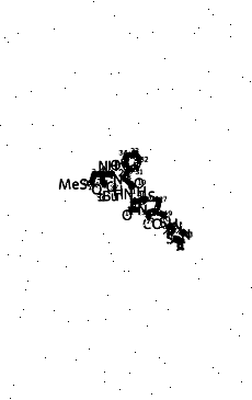 CSCC[C@](N)(C(=O)NC(C(=O)NC1C(=O)N2C(C(=O)O)=C(CSc3nnc(C)s3)CS[C@@H]12)c1ccccc1)C(=O)OC(C)(C)C